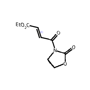 CCOC(=O)/C=C/C(=O)N1CCOC1=O